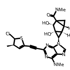 CNC(=O)C12C[C@@H]1[C@H]1[C@@H](n3cnc4c(NC)nc(C#CC5=C[C@@H](C)C(Cl)S5)nc43)[C@@]1(O)[C@@H]2O